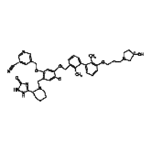 Cc1c(COc2cc(OCc3cncc(C#N)c3)c(CN3CCCCC3c3nc(=O)[nH][nH]3)cc2Cl)cccc1-c1cccc(OCCCN2CC[C@@H](O)C2)c1C